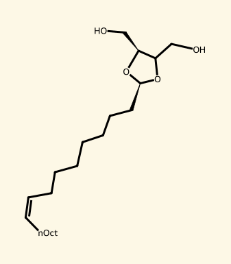 CCCCCCCC/C=C\CCCCCCC[C@@H]1OC(CO)[C@H](CO)O1